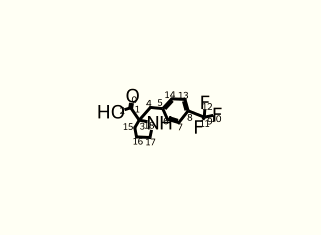 O=C(O)C1(Cc2ccc(C(F)(F)F)cc2)CCCN1